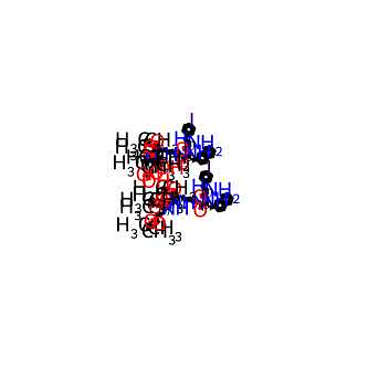 CC(C)(C)OC(=O)CC[C@H](NC(=O)N[C@@H](CCCCNC(=O)[C@H](Cc1ccc2ccccc2c1)NC(=O)[C@@H](N)Cc1ccc(I)cc1)C(=O)OC(C)(C)C)C(=O)OC(C)(C)C.CC(C)(C)OC(=O)[C@H](CCCCNC(=O)[C@H](Cc1ccc2ccccc2c1)NC(=O)[C@@H](N)Cc1ccc(I)cc1)NC(=O)N(C(C)(C)C)[C@@](CCC(=O)O)(C(=O)O)C(C)(C)C